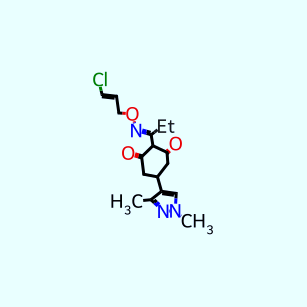 CCC(=NOC/C=C/Cl)C1C(=O)CC(c2cn(C)nc2C)CC1=O